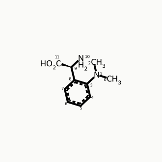 CN(C)c1ccccc1[C@H](N)C(=O)O